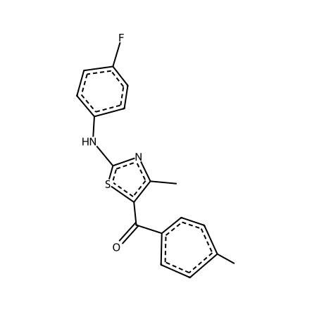 Cc1ccc(C(=O)c2sc(Nc3ccc(F)cc3)nc2C)cc1